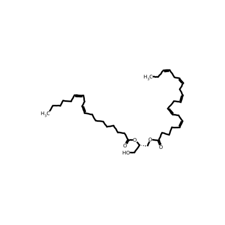 CC/C=C\C/C=C\C/C=C\C/C=C\C/C=C\CCCC(=O)OC[C@H](CO)OC(=O)CCCCCCC/C=C\C/C=C\CCCCC